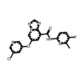 Cc1nc(NC(=O)c2cc(Oc3cncc(Cl)c3)cn3ncnc23)ccc1F